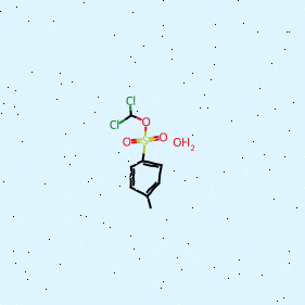 Cc1ccc(S(=O)(=O)OC(Cl)Cl)cc1.O